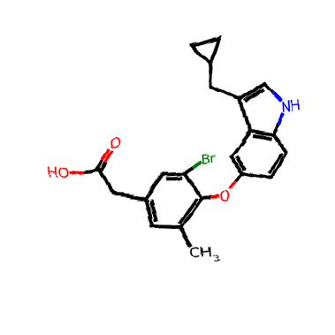 Cc1cc(CC(=O)O)cc(Br)c1Oc1ccc2[nH]cc(CC3CC3)c2c1